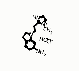 C[n+]1cc[nH]c1CCN1CCc2ccc(N)cc21.Cl.[Cl-]